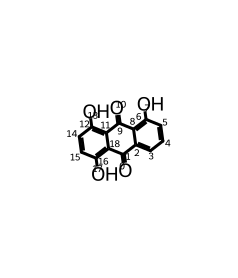 O=C1c2cccc(O)c2C(=O)c2c(O)ccc(O)c21